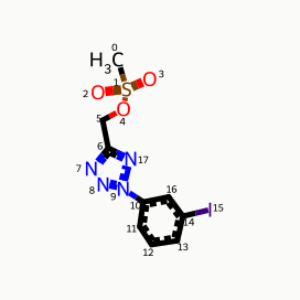 CS(=O)(=O)OCc1nnn(-c2cccc(I)c2)n1